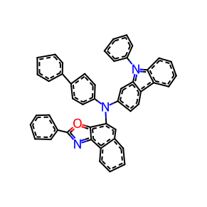 c1ccc(-c2ccc(N(c3ccc4c5ccccc5n(-c5ccccc5)c4c3)c3cc4ccccc4c4nc(-c5ccccc5)oc34)cc2)cc1